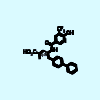 C[C@H](C[C@@H](Cc1ccc(-c2ccccc2)cc1)NC(=O)c1cnc(O)c(C(F)(F)F)c1)C(=O)O